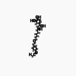 COc1ccc(CCOCCCCCCNCC(O)c2ccc(O)c(O)c2)cc1